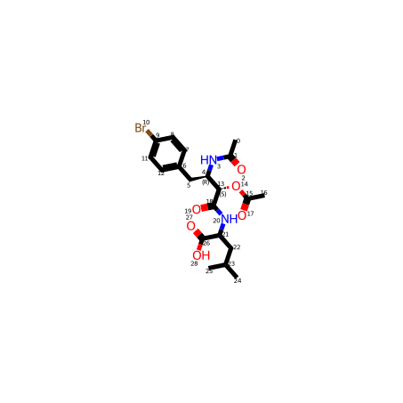 CC(=O)N[C@H](Cc1ccc(Br)cc1)[C@H](OC(C)=O)C(=O)NC(CC(C)C)C(=O)O